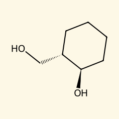 OC[C@@H]1CCCC[C@H]1O